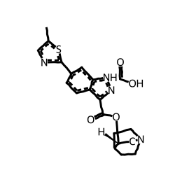 Cc1cnc(-c2ccc3c(C(=O)O[C@@H]4CN5CCC4CC5)n[nH]c3c2)s1.O=CO